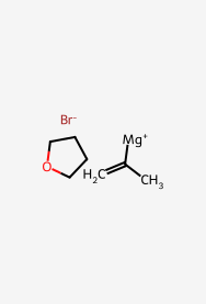 C1CCOC1.C=[C](C)[Mg+].[Br-]